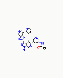 O=C(Nc1cncc(-c2ncc3[nH]nc(-c4nc5c(-c6ccccn6)cncc5[nH]4)c3c2F)c1)C1CC1